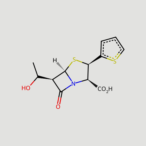 CC(O)[C@@H]1C(=O)N2[C@@H]1S[C@@H](c1cccs1)[C@H]2C(=O)O